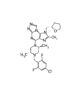 Cc1nc2c(N3C[C@@H](C)N(Cc4c(F)cc(Cl)cc4F)C[C@@H]3C)nc3nncn3c2n1C[C@@H]1CCCO1